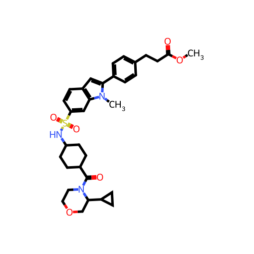 COC(=O)CCc1ccc(-c2cc3ccc(S(=O)(=O)NC4CCC(C(=O)N5CCOCC5C5CC5)CC4)cc3n2C)cc1